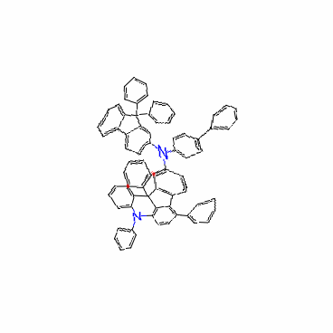 c1ccc(-c2ccc(N(c3ccc4c(c3)C(c3ccccc3)(c3ccccc3)c3ccccc3-4)c3ccc4c(c3)C3(c5ccccc5)c5ccccc5N(c5ccccc5)c5ccc(-c6ccccc6)c-4c53)cc2)cc1